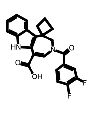 O=C(O)C1=CN(C(=O)c2ccc(F)c(F)c2)CC2(CCC2)c2c1[nH]c1ccccc21